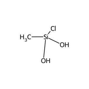 C[Si](O)(O)Cl